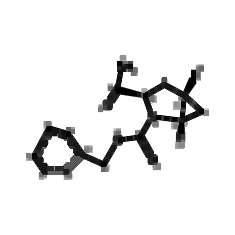 NC(=O)[C@H]1C[C@@H]2C[C@@H]2N1C(=O)OCc1ccccc1